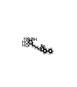 OC[C@@H]1[C@@H](O)C(O)[C@@H](O)CN1CCCCCOCc1ccc(-c2ccccc2)cc1C(F)(F)F